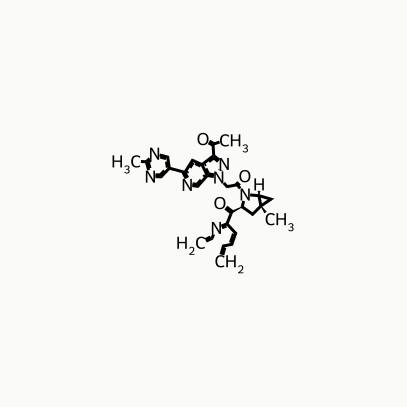 C=C/C=C\C(=N/C=C)C(=O)[C@@H]1C[C@@]2(C)C[C@H]2N1C(=O)Cn1nc(C(C)=O)c2cc(-c3cnc(C)nc3)ncc21